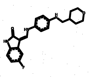 O=C1Nc2ccc(F)cc2C1=CNc1ccc(NCC2CCOCC2)cc1